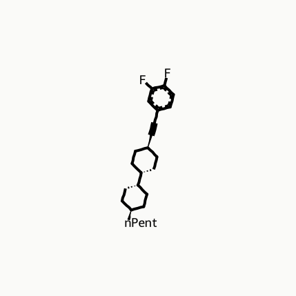 CCCCC[C@H]1CC[C@H]([C@H]2CC[C@H](C#Cc3ccc(F)c(F)c3)CC2)CC1